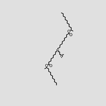 CCCCCCCCCCC(C)OC(=O)CCCCCCCCCN(CCCCCCCC(=O)OC(C)CCCCCCCCCC)CCN(C)C